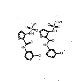 CC(C)S(=O)(=O)Nc1ccsc1C(=O)Nc1cccc(Cl)c1.CCCCCCCCS(=O)(=O)Nc1ccsc1C(=O)Nc1cccc(Cl)c1